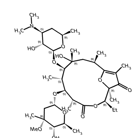 CC[C@H]1OC(=O)[C@H](C)[C@@H](O[C@H]2C[C@@](C)(OC)[C@@H](O)[C@H](C)O2)[C@H](C)[C@@H](O[C@@H]2O[C@H](C)C[C@H](N(C)C)[C@H]2O)[C@](C)(O)C[C@@H](C)C2=C(C)C(=O)[C@]1(C)O2